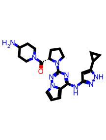 NC1CCN(C(=O)[C@@H]2CCCN2c2nc(Nc3cc(C4CC4)[nH]n3)c3cccn3n2)CC1